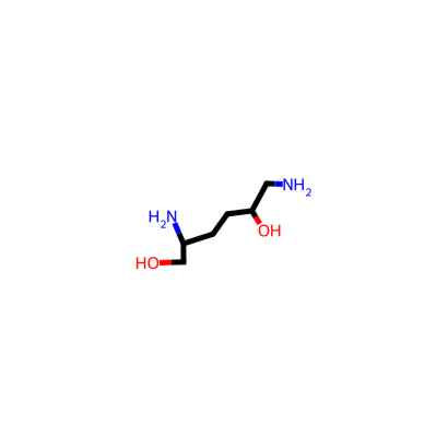 NCC(O)CCC(N)CO